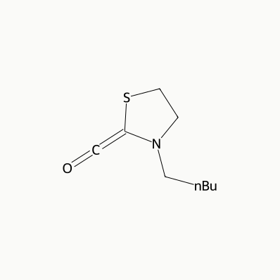 CCCCCN1CCSC1=C=O